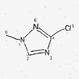 Cn1[c]nc(Cl)n1